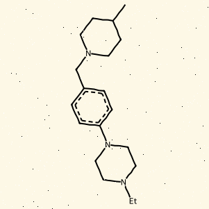 CCN1CCN(c2ccc(CN3CCC(C)CC3)cc2)CC1